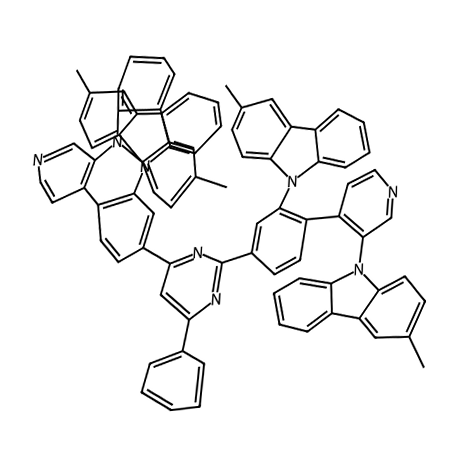 Cc1ccc2c(c1)c1ccccc1n2-c1cnccc1-c1ccc(-c2cc(-c3ccccc3)nc(-c3ccc(-c4ccncc4-n4c5ccccc5c5cc(C)ccc54)c(-n4c5ccccc5c5cc(C)ccc54)c3)n2)cc1-n1c2ccccc2c2cc(C)ccc21